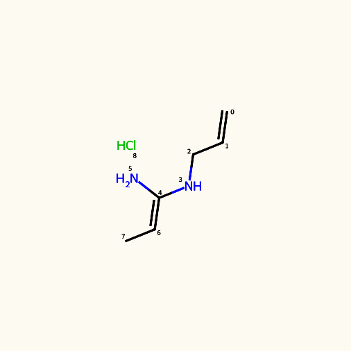 C=CCNC(N)=CC.Cl